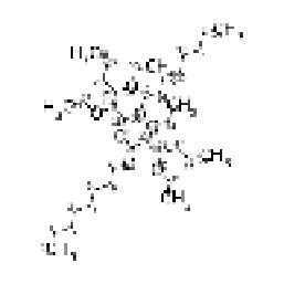 CCCCCCCCOC(OC(OCCCCCCCC)C(OCC)=C(CCC)OCC)C(OCC)=C(CCC)OCC